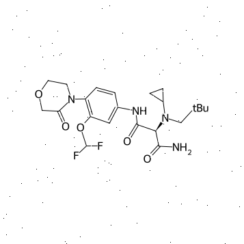 CC(C)(C)CN(C1CC1)[C@@H](C(N)=O)C(=O)Nc1ccc(N2CCOCC2=O)c(OC(F)F)c1